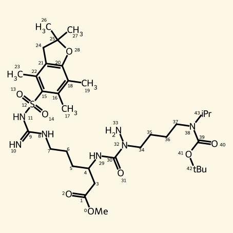 COC(=O)CC(CCCNC(=N)NS(=O)(=O)c1c(C)c(C)c2c(c1C)CC(C)(C)O2)NC(=O)N(N)CCCCN(C(=O)OC(C)(C)C)C(C)C